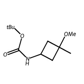 COC1(C)CC(NC(=O)OC(C)(C)C)C1